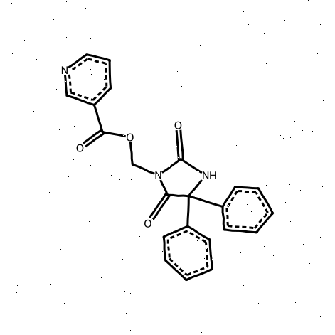 O=C(OCN1C(=O)NC(c2ccccc2)(c2ccccc2)C1=O)c1cccnc1